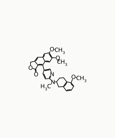 COc1cc2cc3c(c(-c4ccc(N(C)[C@H]5CCc6c(cccc6OC)C5)nc4)c2cc1OC)C(=O)OC3